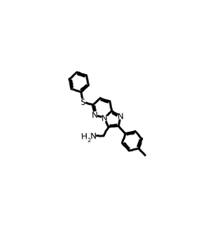 Cc1ccc(-c2nc3ccc(Sc4ccccc4)nn3c2CN)cc1